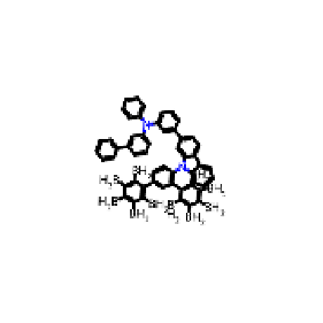 Bc1c(B)c(B)c(-c2ccc(-n3c4ccccc4c4ccc(-c5cccc(N(c6ccccc6)c6cccc(-c7ccccc7)c6)c5)cc43)c(-c3c(B)c(B)c(B)c(B)c3B)c2)c(B)c1B